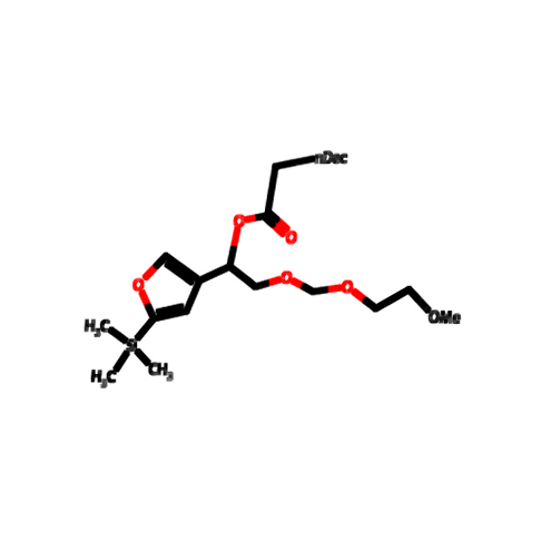 CCCCCCCCCCCC(=O)OC(COCOCCOC)c1coc([Si](C)(C)C)c1